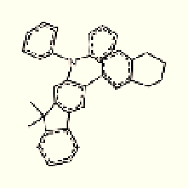 CC1(C)c2ccccc2-c2cc(-c3ccc4c(c3)CCCC4)c(N(c3ccccc3)c3ccccc3)cc21